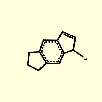 [Li][CH]1C=Cc2cc3c(cc21)CCC3